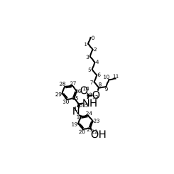 CCCCCCCCC(CCC)OC(=O)NC(=Nc1ccc(O)cc1)c1ccccc1